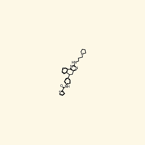 O=C(Nc1ccc(C2Cc3cnc(NCCCN4CCCC4)nc3-c3ccccc32)cc1)c1cccs1